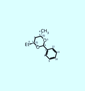 CC[C@H]1C[C@H](C)OC(c2ccccc2)O1